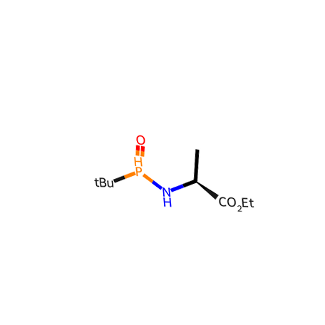 CCOC(=O)[C@H](C)N[PH](=O)C(C)(C)C